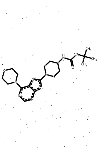 CC(C)(C)OC(=O)NC1CCN(c2nc3c(N4CCOCC4)ncnc3s2)CC1